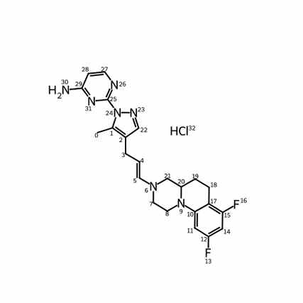 Cc1c(CC=CN2CCN3c4cc(F)cc(F)c4CCC3C2)cnn1-c1nccc(N)n1.Cl